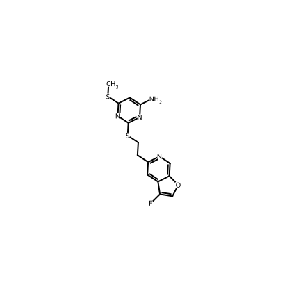 CSc1cc(N)nc(SCCc2cc3c(F)coc3cn2)n1